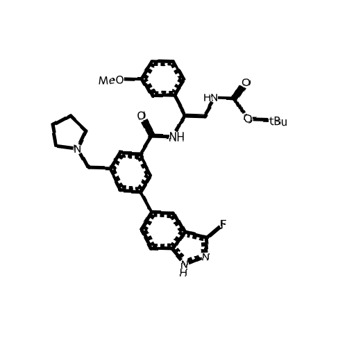 COc1cccc(C(CNC(=O)OC(C)(C)C)NC(=O)c2cc(CN3CCCC3)cc(-c3ccc4[nH]nc(F)c4c3)c2)c1